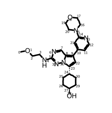 COCCNc1ncc2c(-c3ccnc(N4CCOCC4)c3)cc([C@H]3CC[C@H](O)CC3)n2n1